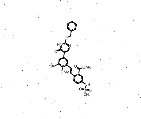 COC(=O)c1cc(NS(C)(=O)=O)ccc1/C=C/c1cc(-c2cnc(OCc3ccccc3)[nH]c2=O)cc(C(C)(C)C)c1OC